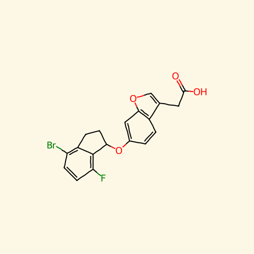 O=C(O)Cc1coc2cc(OC3CCc4c(Br)ccc(F)c43)ccc12